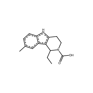 CCC1c2c([nH]c3ccc(C)cc23)CCN1C(=O)O